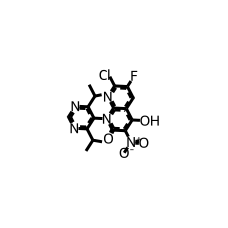 CC(C)c1ncnc(C(C)C)c1-n1c(=O)c([N+](=O)[O-])c(O)c2cc(F)c(Cl)nc21